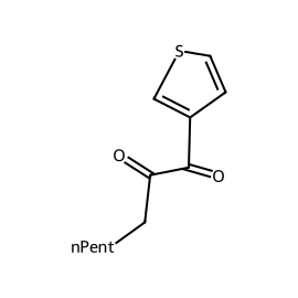 CCCCCCC(=O)C(=O)c1ccsc1